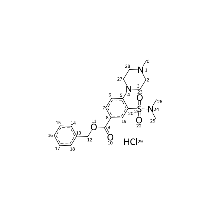 CN1CCN(c2ccc(C(=O)OCc3ccccc3)cc2S(=O)(=O)N(C)C)CC1.Cl